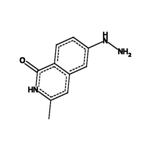 Cc1cc2cc(NN)ccc2c(=O)[nH]1